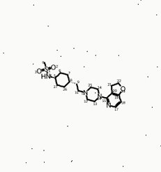 CS(=O)(=O)N[C@H]1CC[C@H](CCN2CCN(c3nccc4c3CCO4)CC2)CC1